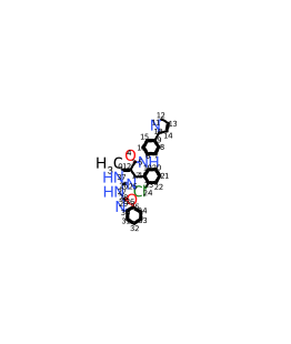 CC1=C(C(=O)Nc2ccc(C3=NCC=C3)cc2)C(c2ccccc2Cl)N=C(Nc2nc3ccccc3o2)N1